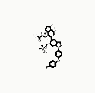 C[C@@H]1C[C@H]([C@@]2(C)Cc3cnn(-c4ccc(Oc5ccc(F)cc5)cc4)c3C[C@@H]2CO[Si](C)(C)C(C)(C)C)[C@@H](CNC(=O)C(F)(F)F)[C@H]2CC[C@H](C)[C@@H]21